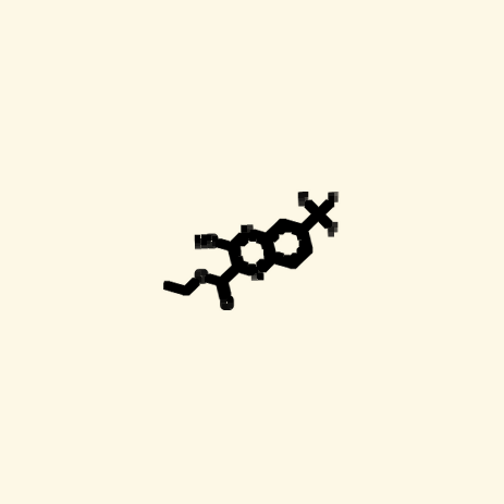 CCOC(=O)c1nc2ccc(C(F)(F)F)cc2nc1O